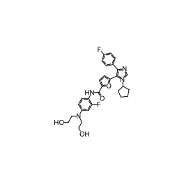 O=C(Nc1ccc(N(CCO)CCO)cc1F)c1ccc(-c2c(-c3ccc(F)cc3)ncn2C2CCCC2)o1